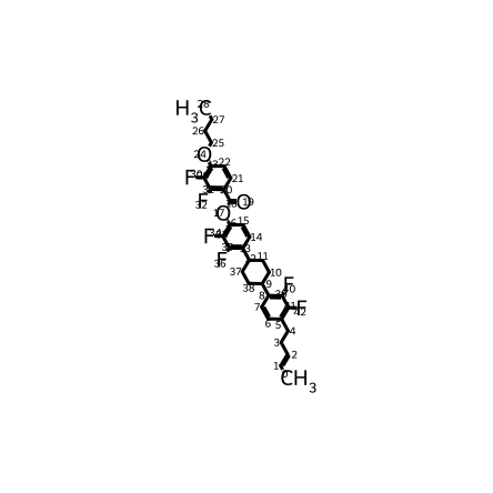 C/C=C/CCc1ccc(C2CCC(c3ccc(OC(=O)c4ccc(OCCCC)c(F)c4F)c(F)c3F)CC2)c(F)c1F